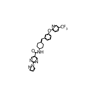 O=C(NC1CCC(=Cc2cccc(Oc3ccc(C(F)(F)F)cn3)c2)CC1)c1cnc(-n2cccn2)nc1